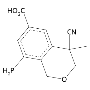 CC1(C#N)COCc2c(P)cc(C(=O)O)cc21